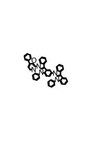 c1ccc(-n2c3ccccc3c3c4ccccc4n(-c4ccc5c(c4)c4c6ccccc6n(-c6nccc7c6oc6ccccc67)c4n5-c4ccccc4)c32)cc1